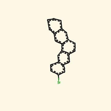 Brc1ccc2cc3c(ccc4cc5ccccc5cc43)cc2c1